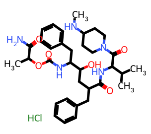 CNC1CCN(C(=O)C(NC(=O)C(Cc2ccccc2)CC(O)C(Cc2ccccc2)NC(=O)OC(C)C(N)=O)C(C)C)CC1.Cl